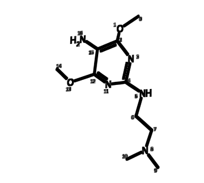 COc1nc(NCCN(C)C)nc(OC)c1N